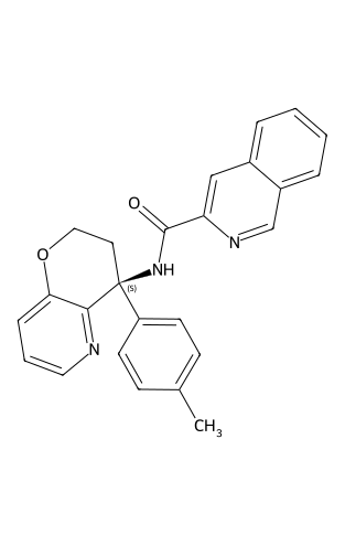 Cc1ccc([C@@]2(NC(=O)c3cc4ccccc4cn3)CCOc3cccnc32)cc1